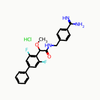 COC(C(=O)NCc1ccc(C(=N)N)cc1)c1c(F)cc(-c2ccccc2)cc1F.Cl